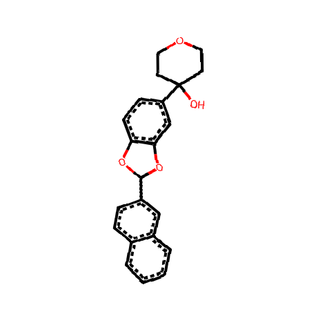 OC1(c2ccc3c(c2)OC(c2ccc4ccccc4c2)O3)CCOCC1